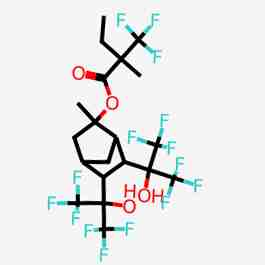 CCC(C)(C(=O)OC1(C)CC2CC1C(C(O)(C(F)(F)F)C(F)(F)F)C2C(O)(C(F)(F)F)C(F)(F)F)C(F)(F)F